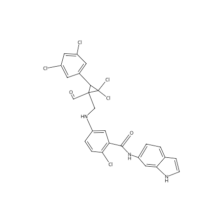 O=CC1(CNc2ccc(Cl)c(C(=O)Nc3ccc4cc[nH]c4c3)c2)C(c2cc(Cl)cc(Cl)c2)C1(Cl)Cl